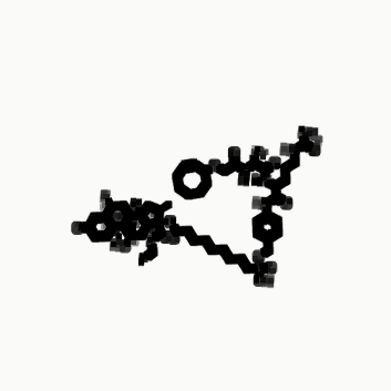 CC(C)C(NC(=O)COC1C#CCCCCC1)C(=O)NC(CCCNC(N)=O)C(=O)Nc1ccc(COP(=O)(O)CCCCCCCCC(=O)O[C@]2(C(=O)SCF)[C@H](C)C[C@H]3[C@@H]4C[C@H](F)C5=CC(=O)C=C[C@]5(C)[C@@]4(F)[C@@H](O)C[C@@]32C)cc1